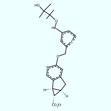 CCOC(=O)[C@H]1[C@@H]2Cc3cc(OCc4cccc(BOC(C)(C)C(C)(C)O)c4)ncc3[C@@H]21